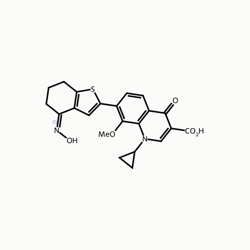 COc1c(-c2cc3c(s2)CCC/C3=N/O)ccc2c(=O)c(C(=O)O)cn(C3CC3)c12